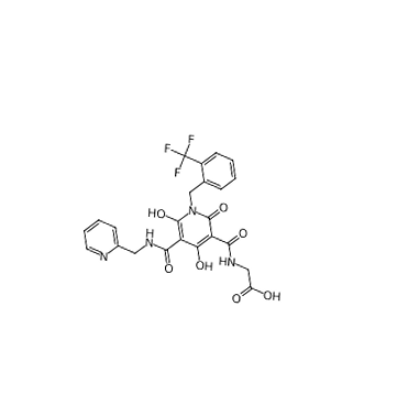 O=C(O)CNC(=O)c1c(O)c(C(=O)NCc2ccccn2)c(O)n(Cc2ccccc2C(F)(F)F)c1=O